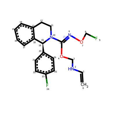 C=CNCO/C(=N\OCF)N1CCc2ccccc2[C@@H]1c1ccc(F)cc1